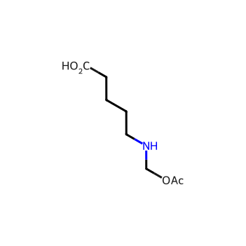 CC(=O)OCNCCCCC(=O)O